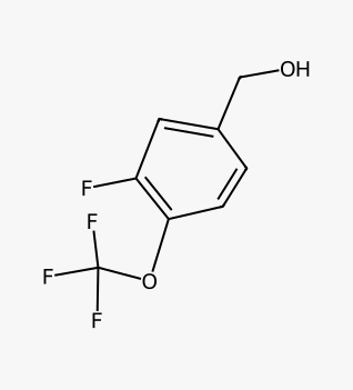 OCc1ccc(OC(F)(F)F)c(F)c1